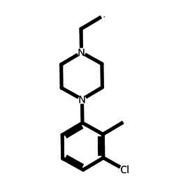 [CH2]CN1CCN(c2cccc(Cl)c2C)CC1